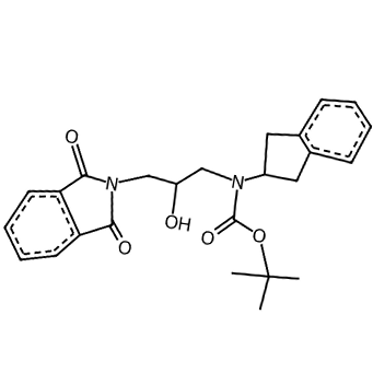 CC(C)(C)OC(=O)N(CC(O)CN1C(=O)c2ccccc2C1=O)C1Cc2ccccc2C1